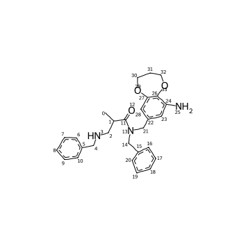 CC(CNCc1ccccc1)C(=O)N(Cc1ccccc1)Cc1cc(N)c2c(c1)OCCCO2